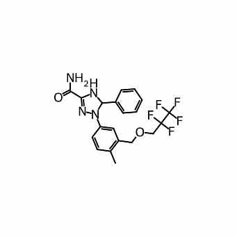 Cc1ccc(N2N=C(C(N)=O)NC2c2ccccc2)cc1COCC(F)(F)C(F)(F)F